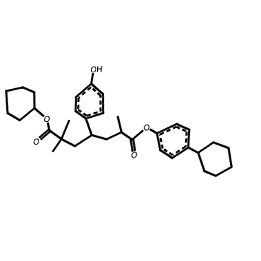 CC(CC(CC(C)(C)C(=O)OC1CCCCC1)c1ccc(O)cc1)C(=O)Oc1ccc(C2CCCCC2)cc1